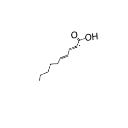 CCCCCC=C/C=[C]/C(=O)O